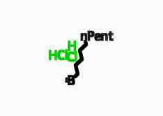 Cl.Cl.[B]CCCCCCCCCC